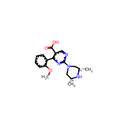 COc1ccccc1-c1nc(N2C[C@@H](C)N[C@@H](C)C2)ncc1C(=O)O